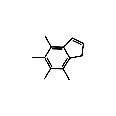 Cc1c(C)c(C)c2c(c1C)C=CC2